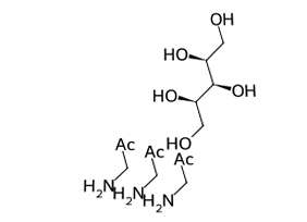 CC(=O)CN.CC(=O)CN.CC(=O)CN.OC[C@@H](O)[C@H](O)[C@@H](O)CO